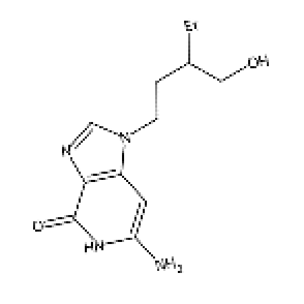 CCC(CO)CCn1cnc2c(=O)[nH]c(N)cc21